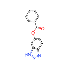 O=C(Oc1ccc2nn[nH]c2c1)c1ccccc1